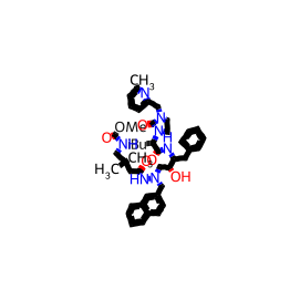 CCC(C)C(C(=O)NC(Cc1ccccc1)C(O)CN(Cc1ccc2ccccc2c1)NC(=O)CC(C)(C)CNC(=O)OC)N1CCN(Cc2cccc(C)n2)C1=O